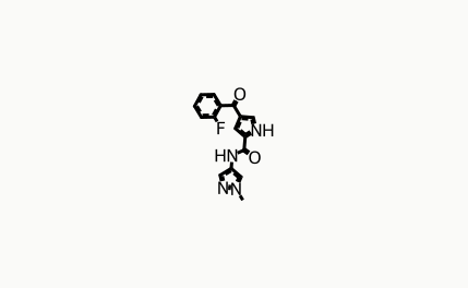 Cn1cc(NC(=O)c2cc(C(=O)c3ccccc3F)c[nH]2)cn1